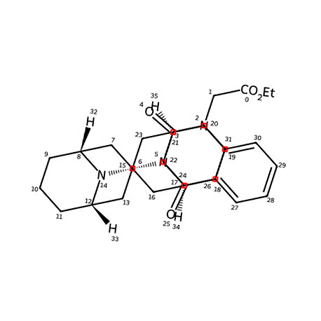 CCOC(=O)Cn1c(=O)n([C@H]2C[C@H]3CCC[C@@H](C2)N3[C@H]2C[C@@H]3CCC[C@@H](C3)C2)c(=O)c2ccccc21